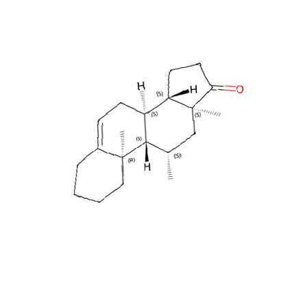 C[C@H]1C[C@]2(C)C(=O)CC[C@H]2[C@@H]2CC=C3CCCC[C@]3(C)[C@H]21